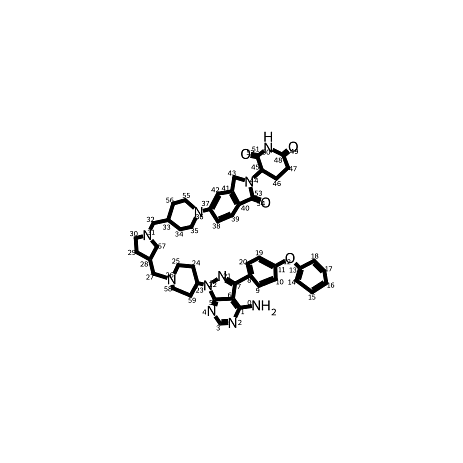 Nc1ncnc2c1c(-c1ccc(Oc3ccccc3)cc1)nn2C1CCN(CC2CCN(CC3CCN(c4ccc5c(c4)CN(C4CCC(=O)NC4=O)C5=O)CC3)C2)CC1